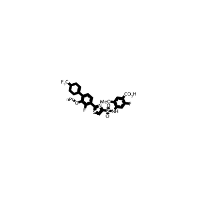 CCCOc1c(C2=CCC(C(F)(F)F)CC2)ccc(-c2nc(S(=O)(=O)Nc3cc(F)c(C(=O)O)cc3OC)cs2)c1F